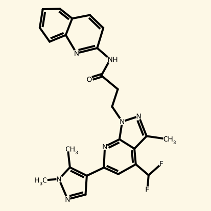 Cc1nn(CCC(=O)Nc2ccc3ccccc3n2)c2nc(-c3cnn(C)c3C)cc(C(F)F)c12